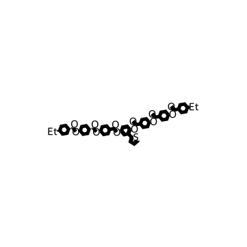 CCC1CCC(C(=O)OC2CCC(C(=O)OC3CCC(C(=O)Oc4ccc(OC(=O)C5CCC(OC(=O)[C@H]6CC[C@H](OC(=O)[C@H]7CC[C@H](CC)CC7)CC6)CC5)cc4-c4cccs4)CC3)CC2)CC1